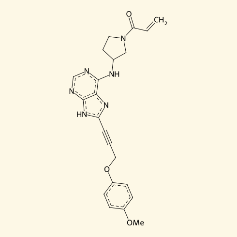 C=CC(=O)N1CCC(Nc2ncnc3[nH]c(C#CCOc4ccc(OC)cc4)nc23)C1